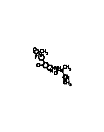 C[C@@H]1[C@H](C(=O)Nc2cc3cc(C4CCN([C@]5(C)COC[C@@H]5F)CC4)c(Cl)cc3cn2)[C@H]1c1cnn(C)c1